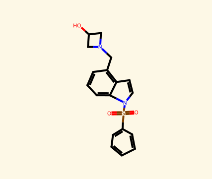 O=S(=O)(c1ccccc1)n1ccc2c(CN3CC(O)C3)cccc21